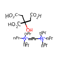 CCC[N+](CCC)(CCC)CCC.CCC[N+](CCC)(CCC)CCC.O=C(O)CC(O)(CC(=O)O)C(=O)O